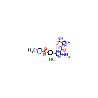 CN1CCN(S(=O)(=O)c2ccc(-c3cnc(N)c(C(=O)Nc4n[nH]cc4C(N)=O)n3)cc2)CC1.Cl